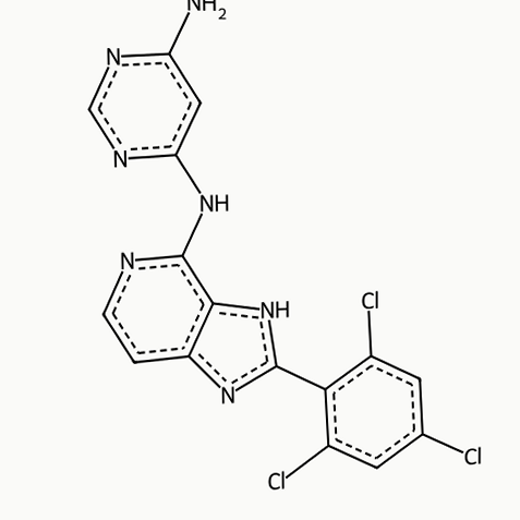 Nc1cc(Nc2nccc3nc(-c4c(Cl)cc(Cl)cc4Cl)[nH]c23)ncn1